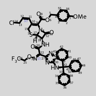 COc1ccc(COC(=O)C2=C(/C=C\CCl)CS[C@H]3[C@H](NC(=O)/C(=N\OCC(F)(F)F)c4nsc(NC(c5ccccc5)(c5ccccc5)c5ccccc5)n4)C(=O)N23)cc1